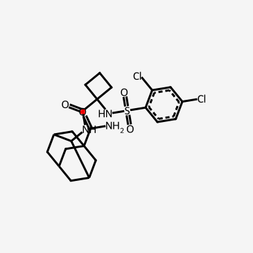 NC(=O)C12CC3CC(C1)C(NC(=O)C1(NS(=O)(=O)c4ccc(Cl)cc4Cl)CCC1)C(C3)C2